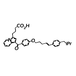 CC(C)Cc1ccc(C=CCCCOc2ccc(C(=O)c3cc(CCCC(=O)O)n4ccccc34)cc2)cc1